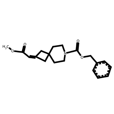 COC(=O)C=C1CC2(CCN(C(=O)OCc3ccccc3)CC2)C1